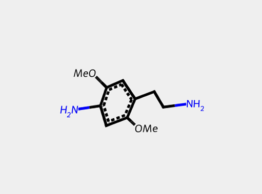 COc1cc(CCN)c(OC)cc1N